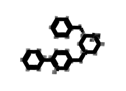 c1ccc(C[C@H]2CN(Cc3ccc(-c4ccccc4)nc3)CCN2)cc1